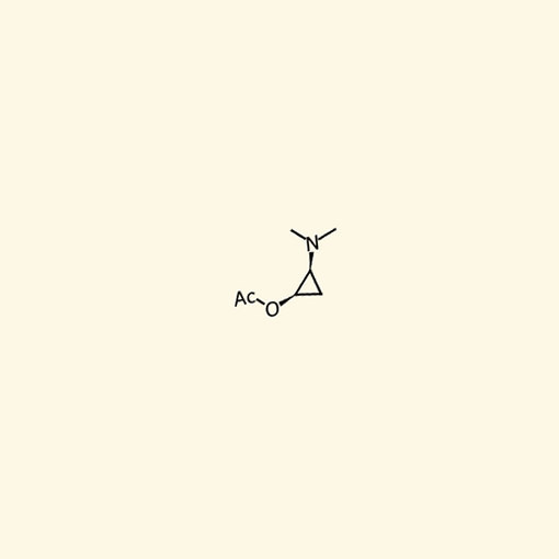 CC(=O)O[C@@H]1C[C@@H]1N(C)C